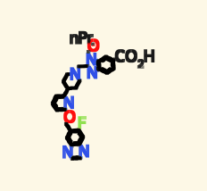 CCCOCn1c(CN2CCC(c3cccc(OCc4cc5nccnc5cc4F)n3)CC2)nc2ccc(C(=O)O)cc21